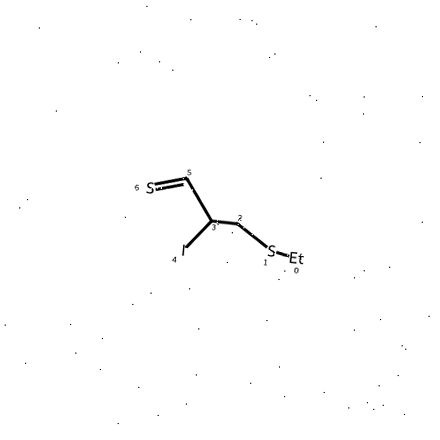 CCSCC(I)C=S